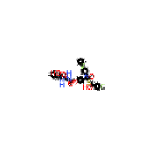 O=C(COc1ccc([C@@H]2[C@@H](SCC(O)c3ccc(F)cc3)C(=O)N2c2ccc(F)cc2)cc1)NCC(=O)N[C@H](Cc1ccccc1)C(=O)O.c1ccccc1